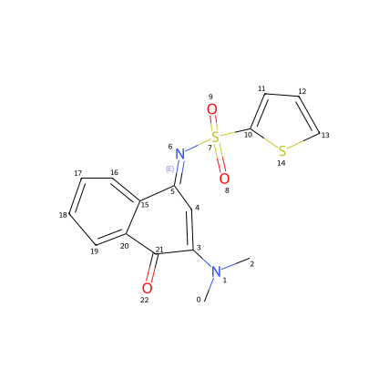 CN(C)C1=C/C(=N\S(=O)(=O)c2cccs2)c2ccccc2C1=O